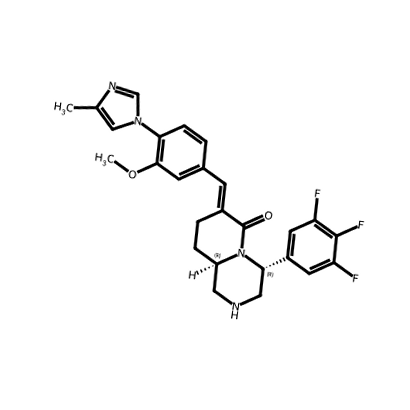 COc1cc(C=C2CC[C@@H]3CNC[C@@H](c4cc(F)c(F)c(F)c4)N3C2=O)ccc1-n1cnc(C)c1